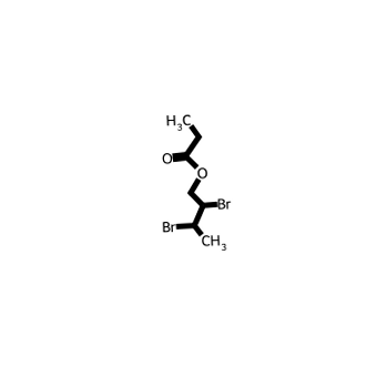 CCC(=O)OCC(Br)C(C)Br